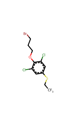 FC(F)(F)CSc1cc(Cl)c(OCCCBr)c(Cl)c1